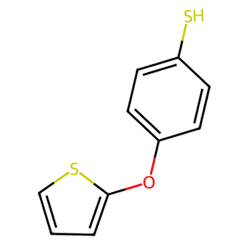 Sc1ccc(Oc2cccs2)cc1